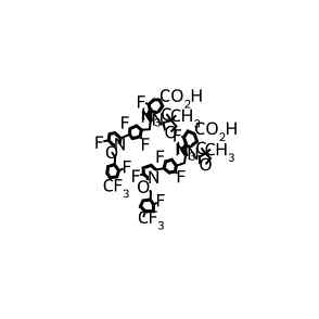 CC1(C)COCC1n1c(Cc2cc(F)c(-c3ccc(F)c(OCc4ccc(C(F)(F)F)cc4F)n3)cc2F)nc2c(F)cc(C(=O)O)cc21.CC1(C)COCC1n1c(Cc2cc(F)c(-c3ccc(F)c(OCc4ccc(C(F)(F)F)cc4F)n3)cc2F)nc2c(F)cc(C(=O)O)cc21